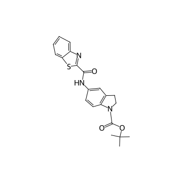 CC(C)(C)OC(=O)N1CCc2cc(NC(=O)c3nc4ccccc4s3)ccc21